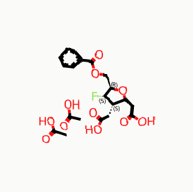 CC(=O)O.CC(=O)O.O=C(O)CC1O[C@H](COC(=O)c2ccccc2)[C@@H](F)[C@H]1CC(=O)O